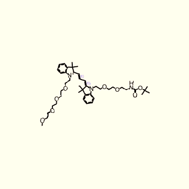 COCCOCCOCCOCC[N+]1=C(/C=C/C=C2/N(CCOCCOCCNC(=O)OC(C)(C)C)c3ccccc3C2(C)C)C(C)(C)c2ccccc21